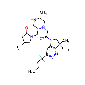 CCCC(F)(F)c1cc2c(nn1)C(C)(C)CN2C(=O)CN1C[C@@H](C)NC[C@@H]1CN1CC(C)CC1=O